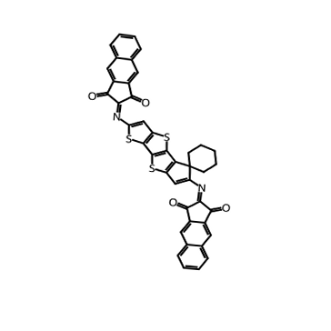 O=c1c(=NC2=Cc3sc4c(sc5cc(N=c6c(=O)c7cc8ccccc8cc7c6=O)sc54)c3C23CCCCC3)c(=O)c2cc3ccccc3cc12